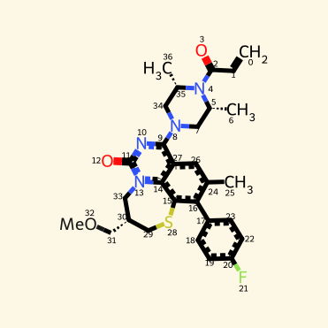 C=CC(=O)N1[C@H](C)CN(c2nc(=O)n3c4c(c(-c5ccc(F)cc5)c(C)cc24)SC[C@H](COC)C3)C[C@@H]1C